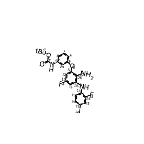 CC(C)(C)OC(=O)Nc1cccc(Oc2cc(F)cc(Nc3ccc(I)cc3F)c2N)c1